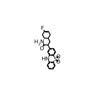 NC(=O)C(CC1CC=C(F)CC1)c1ccc2c(c1)Nc1ccccc1S2(=O)=O